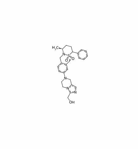 C[C@H]1CCC(c2ccccc2)S(=O)(=O)N1Cc1ccc(N2CCn3c(cnc3CO)C2)cc1F